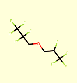 FC(COCC(F)(F)C(F)(F)F)C(F)(F)F